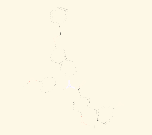 COc1ccc(CN(C(=O)c2ccc(OC)c(-c3cccc(OC)c3)c2)c2ccc3cc(OCc4ccccc4)ccc3c2)cc1